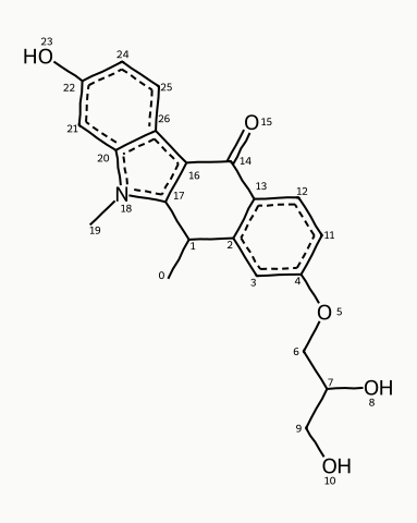 CC1c2cc(OCC(O)CO)ccc2C(=O)c2c1n(C)c1cc(O)ccc21